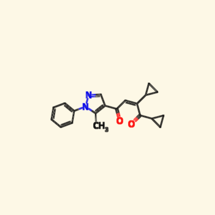 Cc1c(C(=O)C=C(C(=O)C2CC2)C2CC2)cnn1-c1ccccc1